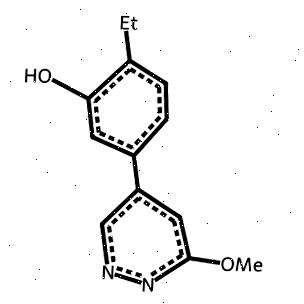 CCc1ccc(-c2cnnc(OC)c2)cc1O